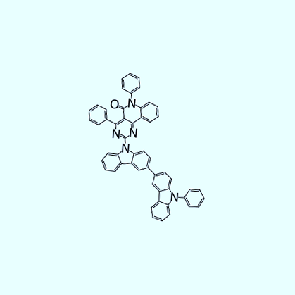 O=c1c2c(-c3ccccc3)nc(-n3c4ccccc4c4cc(-c5ccc6c(c5)c5ccccc5n6-c5ccccc5)ccc43)nc2c2ccccc2n1-c1ccccc1